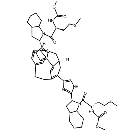 COC(=O)N[C@@H](CCSC)C(=O)N1C2CCCCC2C[C@H]1c1nc(C2=CC3=C(c4c[nH]c([C@@H]5CC6CCCCC6N5C(=O)[C@H](CCSC)NC(=O)OC)n4)C[C@@H]2CC[C@@H]2C=CC(=CC2)CC3)c[nH]1